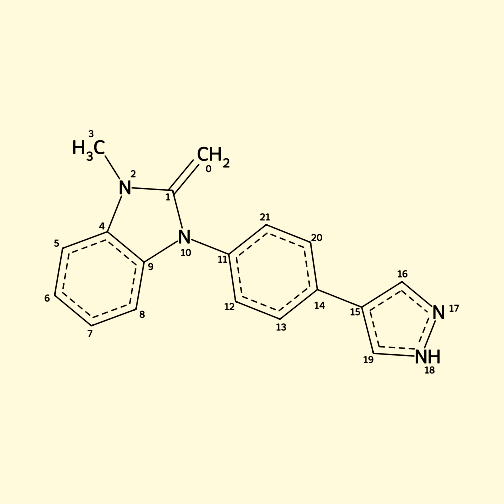 C=C1N(C)c2ccccc2N1c1ccc(-c2cn[nH]c2)cc1